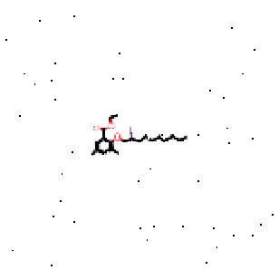 CCCCCCCCC(I)COc1c(C)cc(C)cc1C(=O)OCC